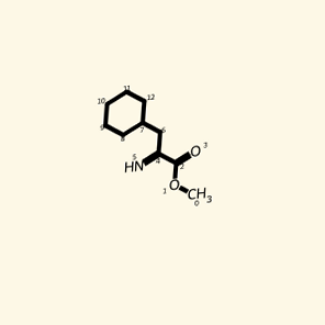 COC(=O)C(=N)CC1CCCCC1